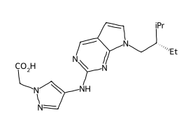 CC[C@H](Cn1ccc2cnc(Nc3cnn(CC(=O)O)c3)nc21)C(C)C